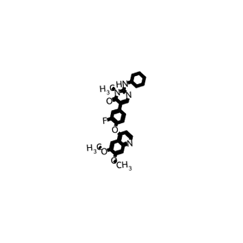 COc1cc2nccc(Oc3ccc(-c4cnc(NC5CCCCC5)n(C)c4=O)cc3F)c2cc1OC